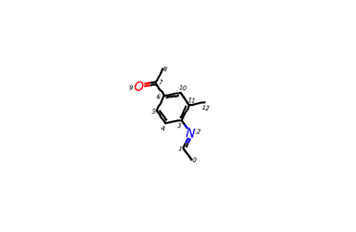 C/C=N/c1ccc(C(C)=O)cc1C